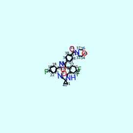 N#CC1(NC(=O)[C@@H]2CC(F)(F)CC[C@H]2c2oc(-c3ccc(F)cc3)nc2-c2ccc(C(=O)N3CCOCC3)cc2)CC1